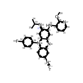 [C-]#[N+]c1ccc2c(c1)nc1cc(Nc3cccnc3OC)/c(=N/C(C)C)cc-1n2-c1ccc(F)cc1